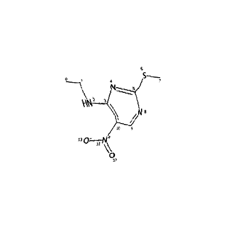 CCNc1nc(SC)ncc1[N+](=O)[O-]